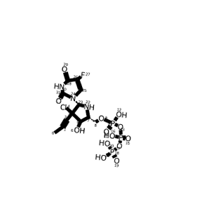 CC#CC1(Cl)C(O)[C@@H](COP(=O)(O)OP(=O)(O)OP(=O)(O)O)N[C@H]1n1cc(F)c(=O)[nH]c1=O